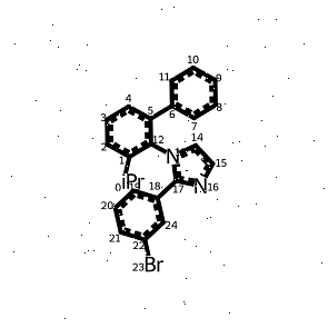 CC(C)c1cccc(-c2ccccc2)c1-n1ccnc1-c1cccc(Br)c1